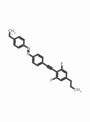 CCCc1cc(F)c(C#Cc2ccc(N=Nc3ccc(CC)cc3)cc2)c(F)c1